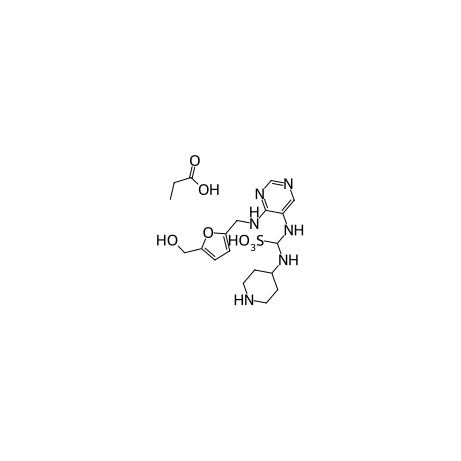 CCC(=O)O.O=S(=O)(O)C(Nc1cncnc1NCc1ccc(CO)o1)NC1CCNCC1